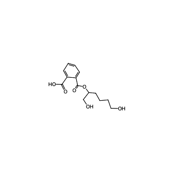 O=C(O)c1ccccc1C(=O)OC(CO)CCCCO